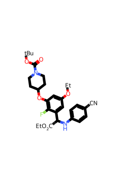 CCOC(=O)C(Nc1ccc(C#N)cc1)c1cc(OCC)cc(OC2CCN(C(=O)OC(C)(C)C)CC2)c1F